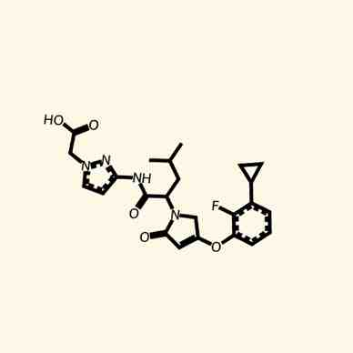 CC(C)CC(C(=O)Nc1ccn(CC(=O)O)n1)N1CC(Oc2cccc(C3CC3)c2F)=CC1=O